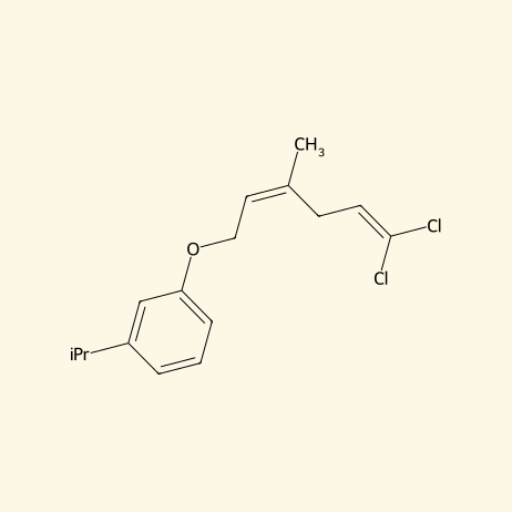 CC(=CCOc1cccc(C(C)C)c1)CC=C(Cl)Cl